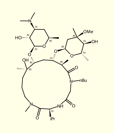 CCCCN1CC(=O)N[C@@H](C(C)C)C(=O)N(C)CCC[C@@](C)(O)[C@H](O[C@@H]2O[C@H](C)C[C@H](N(C)C)[C@H]2O)C[C@H](O[C@H]2C[C@@](C)(OC)[C@@H](O)[C@H](C)O2)[C@@H](C)C1=O